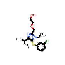 CCn1c(COCCO)nc(C(C)C)c1Sc1cccc(Cl)c1